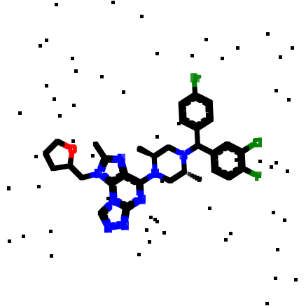 Cc1nc2c(N3C[C@@H](C)N(C(c4ccc(Br)cc4)c4ccc(F)c(Cl)c4)C[C@@H]3C)nc3nncn3c2n1CC1CCCO1